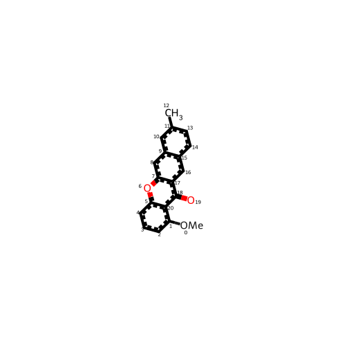 COc1cccc2oc3cc4cc(C)ccc4cc3c(=O)c12